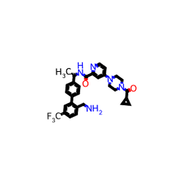 C[C@@H](NC(=O)c1cc(N2CCN(C(=O)C3CC3)CC2)ccn1)c1ccc(-c2cc(C(F)(F)F)ccc2CN)cc1